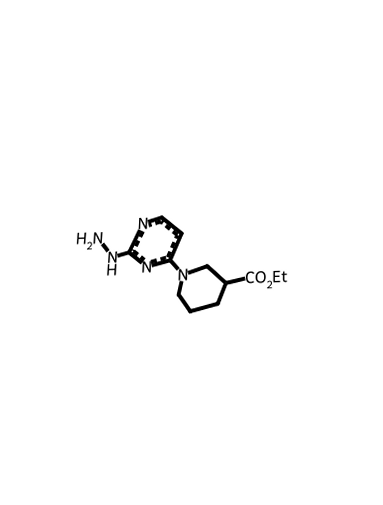 CCOC(=O)C1CCCN(c2ccnc(NN)n2)C1